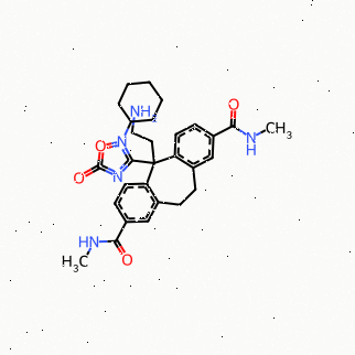 CNC(=O)c1ccc2c(c1)CCc1cc(C(=O)NC)ccc1C2(CCN)c1nc(=O)on1C1CCCCC1